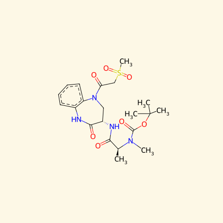 C[C@@H](C(=O)N[C@H]1CN(C(=O)CS(C)(=O)=O)c2ccccc2NC1=O)N(C)C(=O)OC(C)(C)C